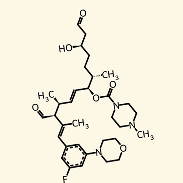 C/C(=C\c1cc(F)cc(N2CCOCC2)c1)[C@@H](C=O)[C@@H](C)/C=C/[C@H](OC(=O)N1CCN(C)CC1)[C@@H](C)CC[C@@H](O)CC=O